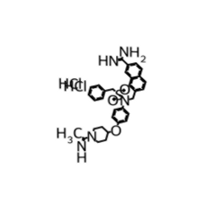 CC(=N)N1CCC(Oc2ccc(N(Cc3ccc4ccc(C(=N)N)cc4c3)S(=O)(=O)Cc3ccccc3)cc2)CC1.Cl.Cl